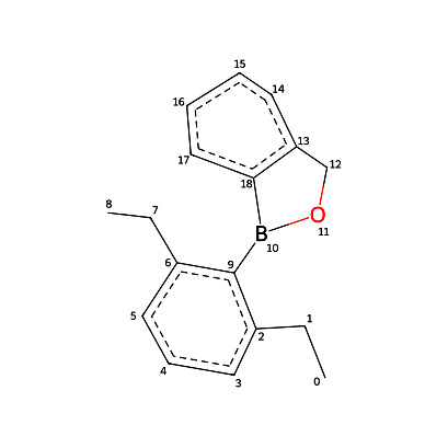 CCc1cccc(CC)c1B1OCc2ccccc21